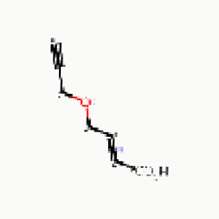 C#CCOC/C=C/C(=O)O